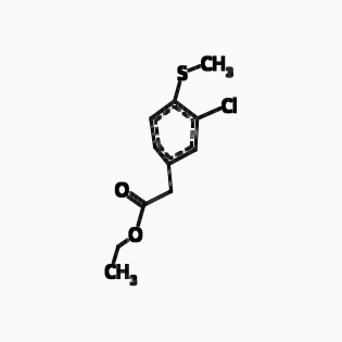 CCOC(=O)Cc1ccc(SC)c(Cl)c1